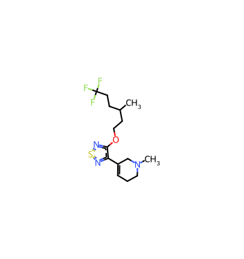 CC(CCOc1nsnc1C1=CCCN(C)C1)CCC(F)(F)F